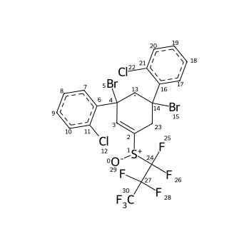 [O-][S+](C1=CC(Br)(c2ccccc2Cl)[CH]C(Br)(c2ccccc2Cl)C1)C(F)(F)C(F)(F)C(F)(F)F